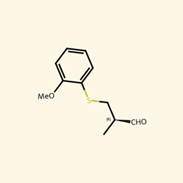 COc1ccccc1SC[C@H](C)C=O